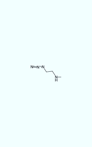 CNCCN=[N+]=[N-]